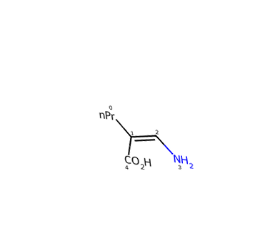 CCCC(=CN)C(=O)O